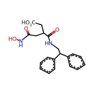 O=C(O)CC(CC(=O)NO)C(=O)NCC(c1ccccc1)c1ccccc1